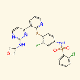 O=S(=O)(Nc1ccc(Sc2ncccc2-c2ccnc(NC3COC3)n2)c(F)c1)c1ccccc1Cl